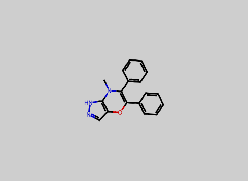 CN1C(c2ccccc2)=C(c2ccccc2)Oc2cn[nH]c21